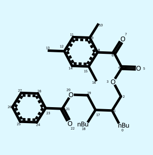 CCCCC(COC(=O)C(=O)c1c(C)cc(C)cc1C)C(CCCC)COC(=O)c1ccccc1